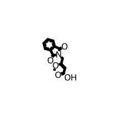 CO/C(=C\C(=O)O)CN1C(=O)c2ccccc2C1=O